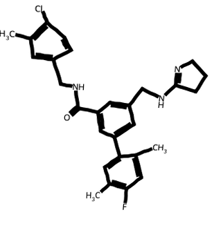 Cc1cc(-c2cc(CNC3=NCCC3)cc(C(=O)NCc3ccc(Cl)c(C)c3)c2)c(C)cc1F